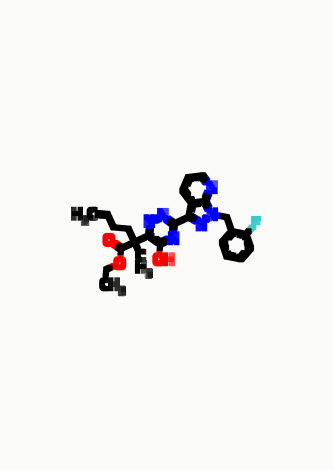 C=CCCC(C)(C(=O)OCC)c1nnc(-c2nn(Cc3ccccc3F)c3ncccc23)nc1O